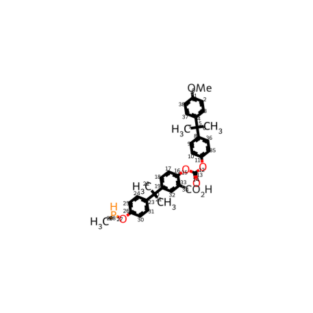 COc1ccc(C(C)(C)c2ccc(OC(=O)Oc3ccc(C(C)(C)c4ccc(OPC)cc4)cc3C(=O)O)cc2)cc1